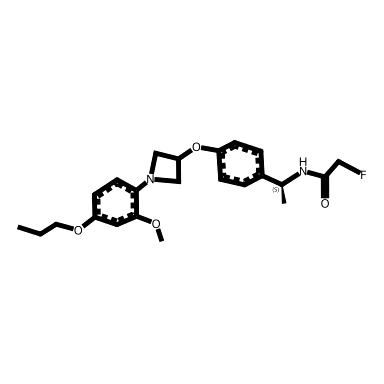 CCCOc1ccc(N2CC(Oc3ccc([C@H](C)NC(=O)CF)cc3)C2)c(OC)c1